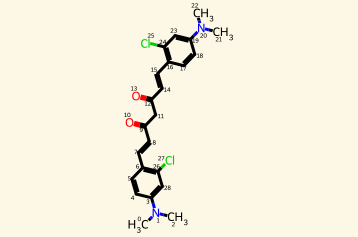 CN(C)c1ccc(/C=C/C(=O)CC(=O)/C=C/c2ccc(N(C)C)cc2Cl)c(Cl)c1